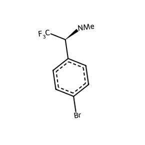 CN[C@@H](c1ccc(Br)cc1)C(F)(F)F